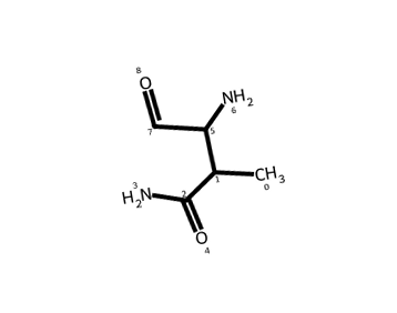 CC(C(N)=O)C(N)C=O